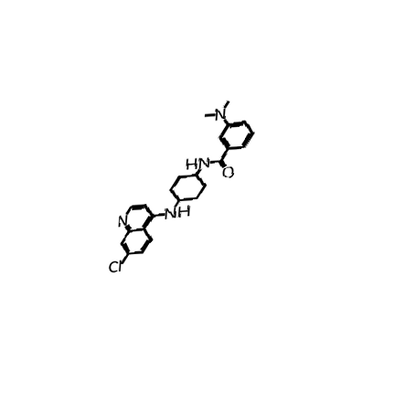 CN(C)c1cccc(C(=O)NC2CCC(Nc3ccnc4cc(Cl)ccc34)CC2)c1